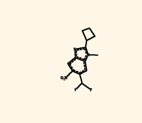 Cn1c(C2CCC2)nc2cc([N+](=O)[O-])c(C(F)F)cc21